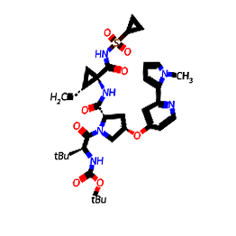 C=C[C@@H]1C[C@]1(NC(=O)[C@@H]1C[C@@H](Oc2ccnc(-c3cccn3C)c2)CN1C(=O)[C@@H](NC(=O)OC(C)(C)C)C(C)(C)C)C(=O)NS(=O)(=O)C1CC1